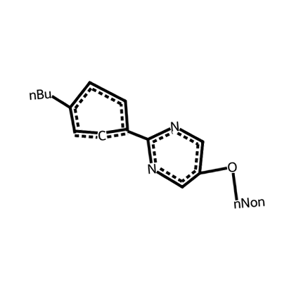 CCCCCCCCCOc1cnc(-c2ccc(CCCC)cc2)nc1